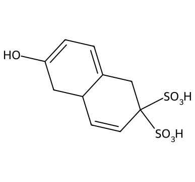 O=S(=O)(O)C1(S(=O)(=O)O)C=CC2CC(O)=CC=C2C1